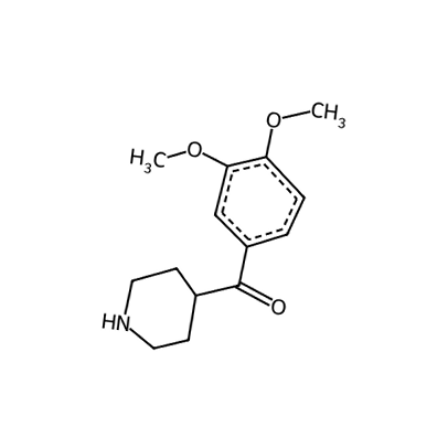 COc1ccc(C(=O)C2CCNCC2)cc1OC